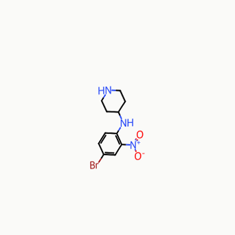 O=[N+]([O-])c1cc(Br)ccc1NC1CCNCC1